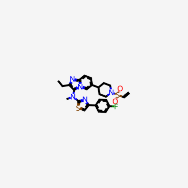 C=CS(=O)(=O)N1CCC(c2ccc3nc(CC)c(N(C)c4nc(-c5ccc(F)cc5)cs4)n3c2)CC1